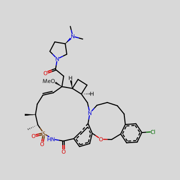 CO[C@]1(CC(=O)N2CC[C@@H](N(C)C)C2)/C=C/C[C@H](C)[C@@H](C)S(=O)(=O)NC(=O)c2ccc3c(c2)N(CCCCc2cc(Cl)ccc2CO3)C[C@@H]2CC[C@H]21